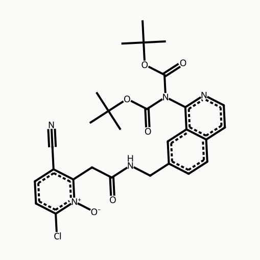 CC(C)(C)OC(=O)N(C(=O)OC(C)(C)C)c1nccc2ccc(CNC(=O)Cc3c(C#N)ccc(Cl)[n+]3[O-])cc12